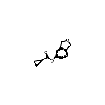 O=C(Oc1ccc2c(c1)COC2)C1CC1